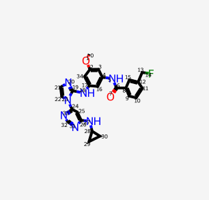 COc1cc(NC(=O)c2cccc(CF)c2)cc(Nc2nccn2-c2cc(NC3CC3)ncn2)c1